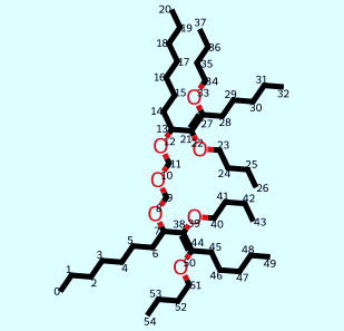 CCCCCCCC(OCOCOC(CCCCCCC)C(OCCCC)=C(CCCCC)OCCCC)C(OCCCC)=C(CCCCC)OCCCC